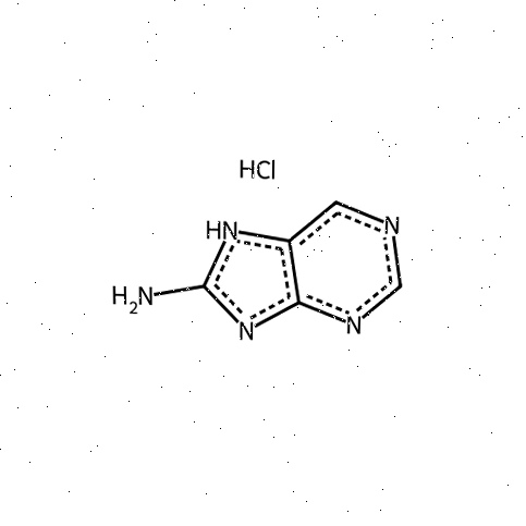 Cl.Nc1nc2ncncc2[nH]1